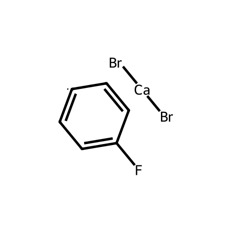 Fc1cc[c]cc1.[Br][Ca][Br]